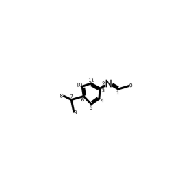 C/C=N/c1ccc(C(C)C)cc1